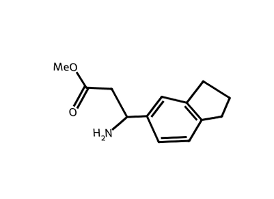 COC(=O)CC(N)c1ccc2c(c1)CCC2